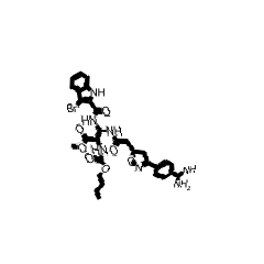 CCCCOC(=O)NC(C(=O)OC)[C@H](NC(=O)CC1CC(c2ccc(C(=N)N)cc2)=NO1)NC(=O)c1[nH]c2ccccc2c1Br